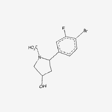 O=C(O)N1CC(O)CC1c1ccc(Br)c(F)c1